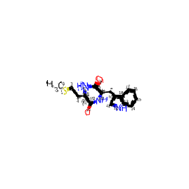 CSCC[C@H]1NC(=O)[C@@H](Cc2c[nH]c3ccccc23)NC1=O